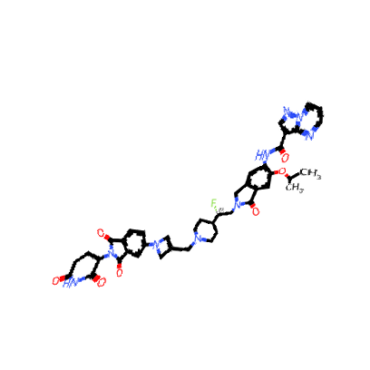 CC(C)Oc1cc2c(cc1NC(=O)c1cnn3cccnc13)CN(C[C@@H](F)C1CCN(CC3CN(c4ccc5c(c4)C(=O)N(C4CCC(=O)NC4=O)C5=O)C3)CC1)C2=O